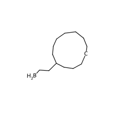 BCCC1CCCCCCCCCCC1